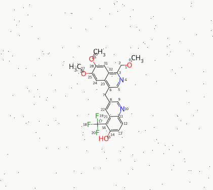 COCc1ncc(Cc2cnc3ccc(O)c(C(F)(F)F)c3c2)c2cc(OC)c(OC)cc12